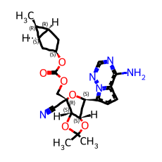 C[C@H]1[C@H]2C[C@@H](OC(=O)OC[C@@]3(C#N)O[C@@H](c4ccc5c(N)ncnn45)[C@@H]4OC(C)(C)O[C@@H]43)C[C@@H]12